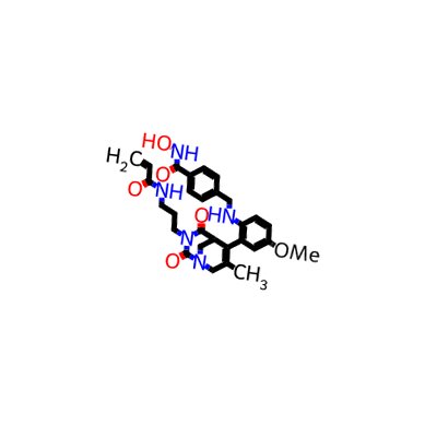 C=CC(=O)NCCCN1C(=O)C2CN(CC(C)=C2c2cc(OC)ccc2NCc2ccc(C(=O)NO)cc2)C1=O